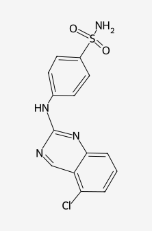 NS(=O)(=O)c1ccc(Nc2ncc3c(Cl)cccc3n2)cc1